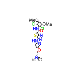 CCN(CC)CCCOc1ccc(Nc2ncnc3c(C(=O)Nc4c(Cl)c(OC)cc(OC)c4Cl)csc23)nc1